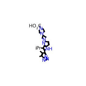 Cc1c(-c2[nH]c3ccc(N4CC(N5CCN(C(=O)O)CC5)C4)nc3c2C(C)C)cn2ncnc2c1C